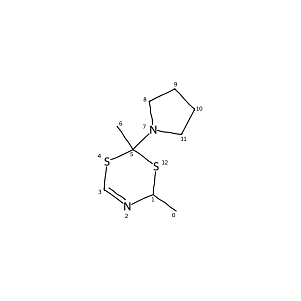 CC1N=CSC(C)(N2CCCC2)S1